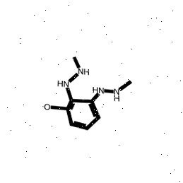 CNNc1cccc([O])c1NNC